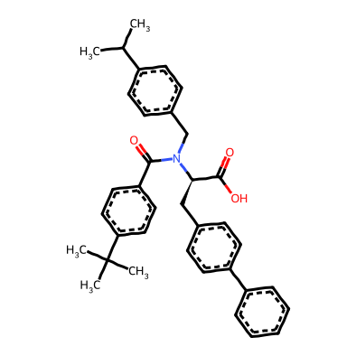 CC(C)c1ccc(CN(C(=O)c2ccc(C(C)(C)C)cc2)[C@H](Cc2ccc(-c3ccccc3)cc2)C(=O)O)cc1